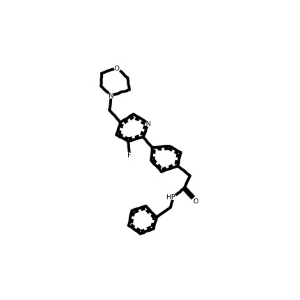 O=C(Cc1ccc(-c2ncc(CN3CCOCC3)cc2F)cc1)PCc1ccccc1